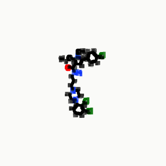 Cc1c(C(=O)NCCCN2CCN(c3cccc(Cl)c3Cl)CC2)cc(-c2ccc(Cl)cc2)n1C